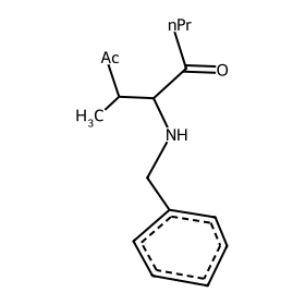 CCCC(=O)C(NCc1ccccc1)C(C)C(C)=O